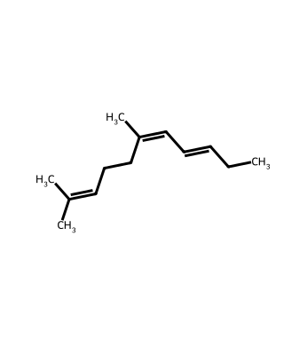 CCC=CC=C(C)CCC=C(C)C